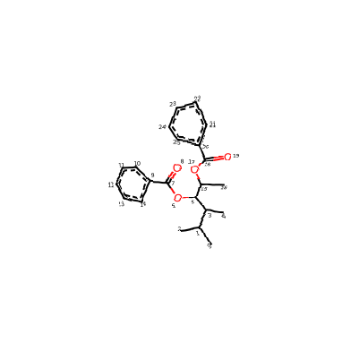 CC(C)C(C)C(OC(=O)c1ccccc1)C(C)OC(=O)c1ccccc1